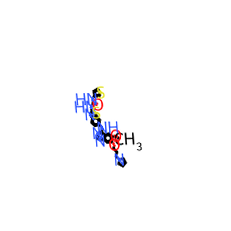 COc1cc2c(Nc3ccc4nc(NC(=O)Nc5ccsc5)sc4c3)ncnc2cc1OCCCN1CCCC1